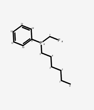 CCCCCCP(CF)c1ccccc1